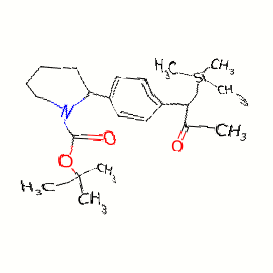 CC(=O)C(c1ccc(C2CCCCN2C(=O)OC(C)(C)C)cc1)[Si](C)(C)C